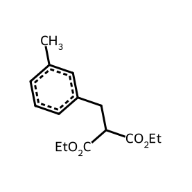 CCOC(=O)C(Cc1cccc(C)c1)C(=O)OCC